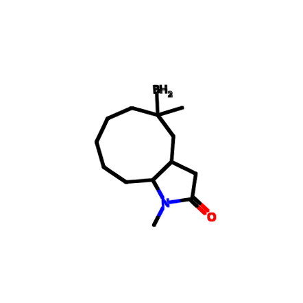 BC1(C)CCCCCC2C(CC(=O)N2C)C1